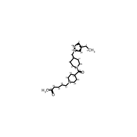 CCc1cnn(CC2CCN(C(=O)C3CCN(CCCCC(C)=O)CC3)CC2)c1